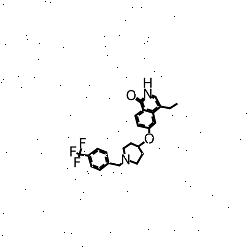 CCc1c[nH]c(=O)c2ccc(OC3CCN(Cc4ccc(C(F)(F)F)cc4)CC3)cc12